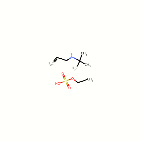 C=CCNC(C)(C)C.CCOS(=O)(=O)O